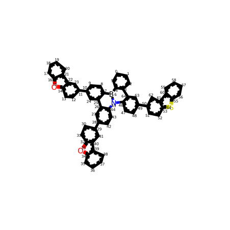 c1ccc2c(c1)B1c3ccc(-c4ccc5oc6ccccc6c5c4)cc3-c3cc(-c4ccc5oc6ccccc6c5c4)ccc3N1c1ccc(-c3ccc4sc5ccccc5c4c3)cc1-2